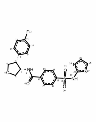 O=C(N[C@@H]1COC[C@@H]1c1ccc(F)cc1)c1ccc(S(=O)(=O)Nc2nccs2)cc1